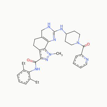 CCc1cccc(CC)c1NC(=O)c1nn(C)c2c1CCC1=C2N=C(NC2CCN(C(=O)c3ccccn3)CC2)NC1